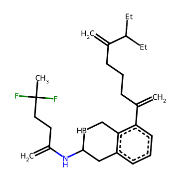 C=C(CCC(C)(F)F)NC1BCc2c(cccc2C(=C)CCCC(=C)C(CC)CC)C1